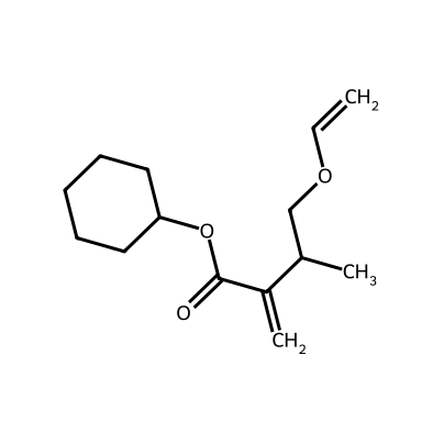 C=COCC(C)C(=C)C(=O)OC1CCCCC1